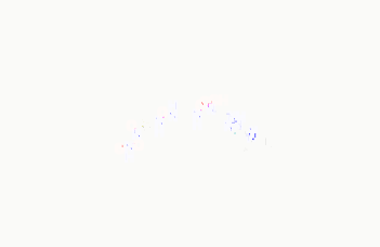 Cn1ncc(-c2nc(N[C@H]3CC[C@H](N(CC(=O)NCCCCNCC(=O)NCc4cc5c(s4)C(=O)N(C4CCC(=O)NC4=O)C5)C(=O)O)CC3)ncc2F)c1CC1CC1